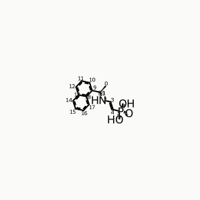 C[C@@H](NC=CP(=O)(O)O)c1cccc2ccccc12